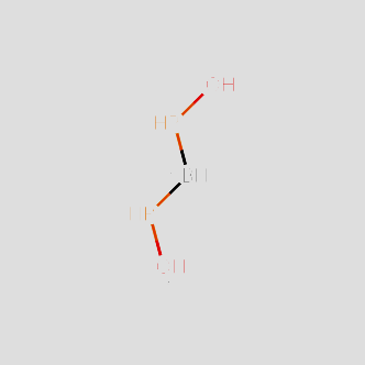 OPBPO